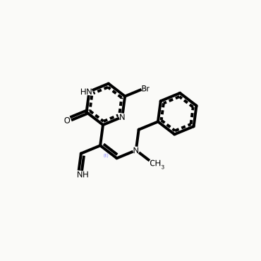 CN(/C=C(/C=N)c1nc(Br)c[nH]c1=O)Cc1ccccc1